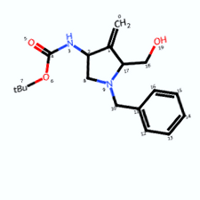 C=C1C(NC(=O)OC(C)(C)C)CN(Cc2ccccc2)C1CO